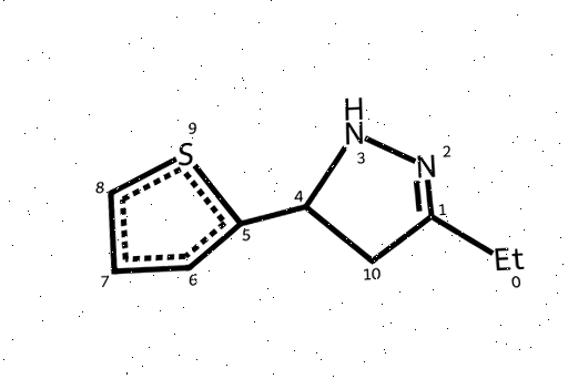 CCC1=NNC(c2cccs2)C1